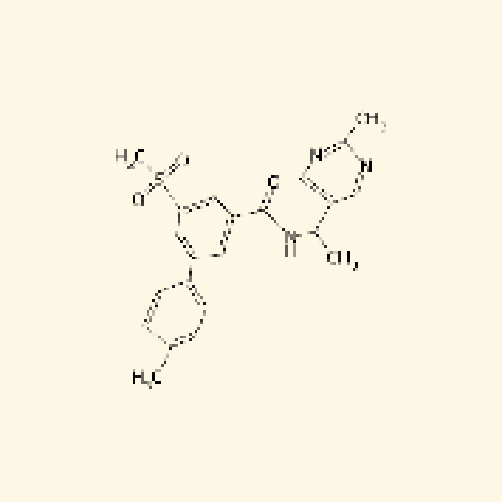 Cc1ccc(-c2cc(C(=O)NC(C)c3cnc(C)nc3)cc(S(C)(=O)=O)c2)cc1